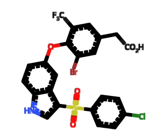 O=C(O)Cc1cc(Br)c(Oc2ccc3[nH]cc(S(=O)(=O)c4ccc(Cl)cc4)c3c2)c(C(F)(F)F)c1